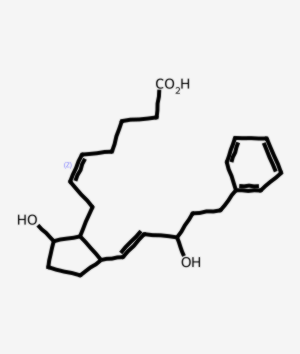 O=C(O)CCC/C=C\CC1C(O)CCC1C=CC(O)CCc1ccccc1